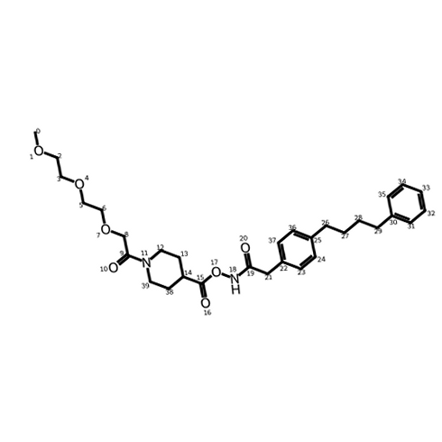 COCCOCCOCC(=O)N1CCC(C(=O)ONC(=O)Cc2ccc(CCCCc3ccccc3)cc2)CC1